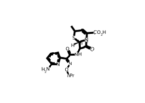 CCCON=C(C(=O)NC1C(=O)N2C(C(=O)O)=CC(C)S[C@@H]12)c1cccc(N)n1